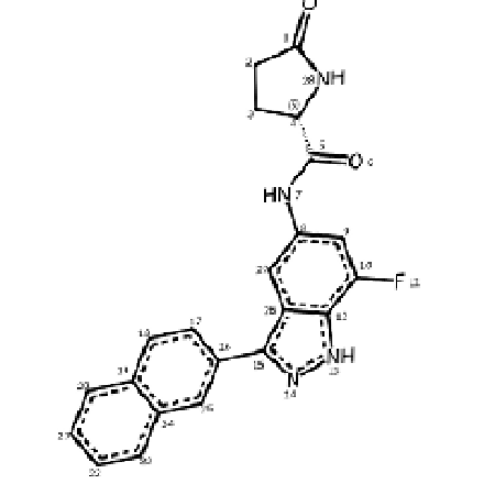 O=C1CC[C@@H](C(=O)Nc2cc(F)c3[nH]nc(-c4ccc5ccccc5c4)c3c2)N1